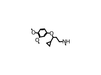 CNCCC(Oc1ccc(OC)c(OC)c1)C1CC1